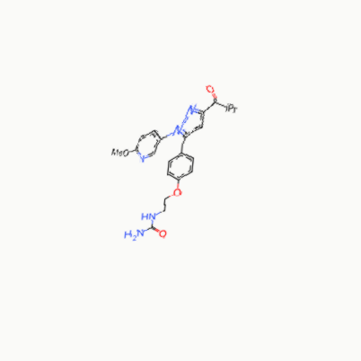 COc1ccc(-n2nc(C(=O)C(C)C)cc2-c2ccc(OCCNC(N)=O)cc2)cn1